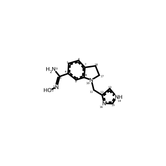 NC(=NO)c1ccc2c(c1)N(Cc1c[nH]cn1)CC2